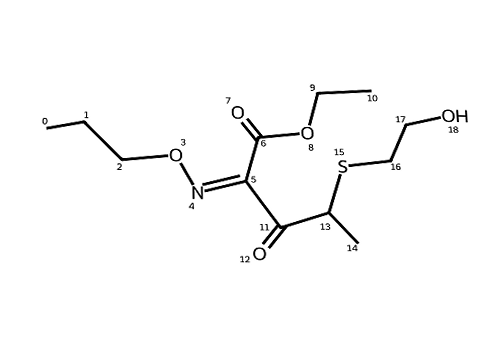 CCCON=C(C(=O)OCC)C(=O)C(C)SCCO